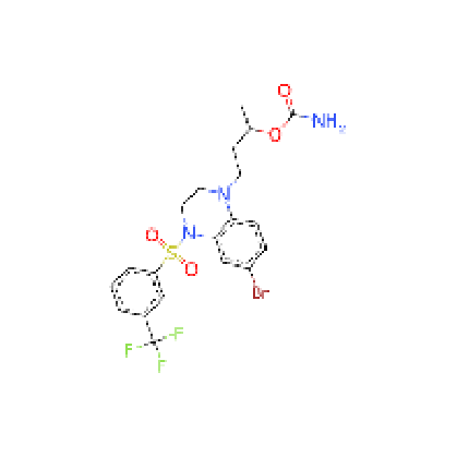 CC(CCN1CCN(S(=O)(=O)c2cccc(C(F)(F)F)c2)c2cc(Br)ccc21)OC(N)=O